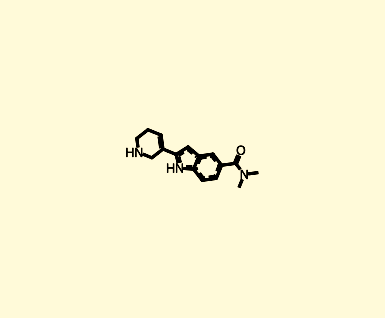 CN(C)C(=O)c1ccc2[nH]c(C3=CCCNC3)cc2c1